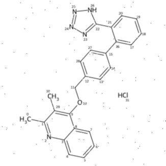 Cc1nc2ccccc2c(OCc2ccc(-c3ccccc3-c3nnn[nH]3)cc2)c1C.Cl